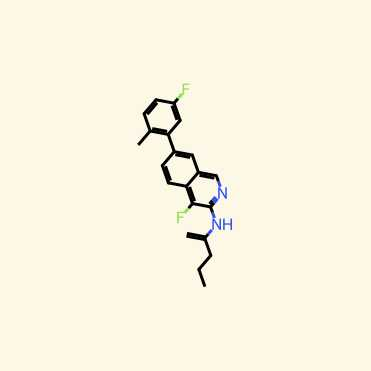 C=C(CCC)Nc1ncc2cc(-c3cc(F)ccc3C)ccc2c1F